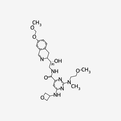 COCCN(C)c1nc(NC2COC2)cc(C(=O)NC[C@@H](O)C2Cc3ccc(OCOC)cc3C=N2)n1